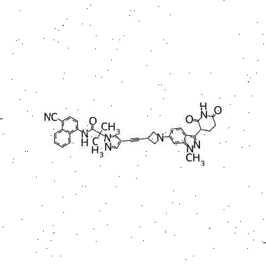 Cn1nc(C2CCC(=O)NC2=O)c2ccc(N3CC(C#Cc4cnn(C(C)(C)C(=O)Nc5ccc(C#N)c6ccccc56)c4)C3)cc21